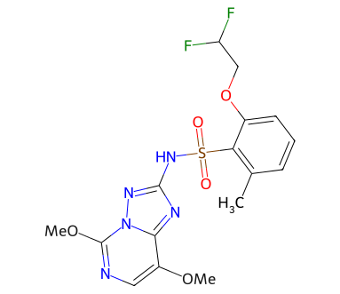 COc1cnc(OC)n2nc(NS(=O)(=O)c3c(C)cccc3OCC(F)F)nc12